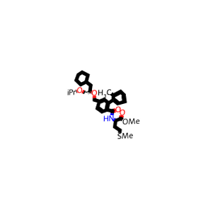 COC(=O)C(CCSC)NC(=O)c1ccc(CO[C@H](COC(C)C)CC2CCCCC2)cc1-c1ccccc1C